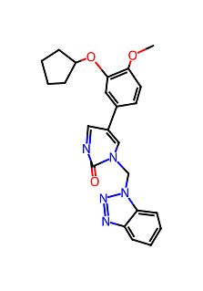 COc1ccc(-c2cnc(=O)n(Cn3nnc4ccccc43)c2)cc1OC1CCCC1